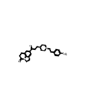 O=C(CCC1CCN(CCc2ccc([N+](=O)[O-])cc2)CC1)c1cc2c3c(c1)CCN3C(=O)CC2